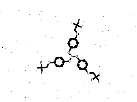 FC(F)(F)COc1ccc(OP(Oc2ccc(OCC(F)(F)F)cc2)Oc2ccc(OCC(F)(F)F)cc2)cc1